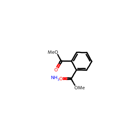 COC(=O)c1ccccc1C(=O)OC.N